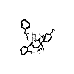 CC1(c2ccc(F)cc2)C(=N)N[C@](COCc2ccccc2)(c2ccccc2F)CS1(=O)=O